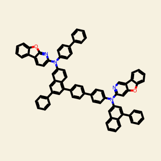 c1ccc(-c2ccc(N(c3ccc4c(-c5ccc(-c6ccc(N(c7cc(-c8ccccc8)c8ccccc8c7)c7cc8oc9ccccc9c8cn7)cc6)cc5)cc(-c5ccccc5)cc4c3)c3ccc4c(n3)oc3ccccc34)cc2)cc1